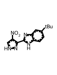 CC(C)(C)c1ccc2[nH]c(-c3n[nH]cc3[N+](=O)[O-])nc2c1